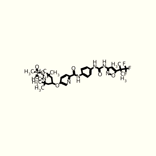 CC(C)(c1cc(NC(=O)Nc2ccc(NC(=O)c3ccc(OC4CC(C)(C)[N+](C)(OS(C)(=O)=O)C(C)(C)C4)cn3)cc2)no1)C(F)(F)F